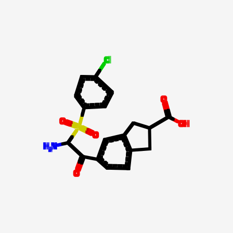 NC(C(=O)c1ccc2c(c1)CC(C(=O)O)C2)S(=O)(=O)c1ccc(Cl)cc1